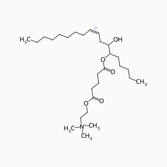 CCCCCCCC/C=C\CC(O)C(CCCCC)OC(=O)CCCC(=O)OCC[N+](C)(C)C